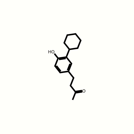 CC(=O)CCc1ccc(O)c(C2CCCCC2)c1